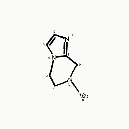 CC(C)(C)N1CCn2ccnc2C1